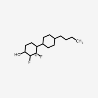 CCCCC1CCC(C2CCC(O)C(F)[C@@H]2F)CC1